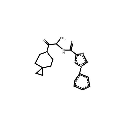 CC(NC(=O)c1ncn(-c2ccccc2)n1)C(=O)N1CCC2(CC1)CC2